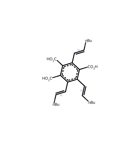 CCCC/C=C/c1c(/C=C/CCCC)c(C(=O)O)c(C(=O)O)c(/C=C/CCCC)c1C(=O)O